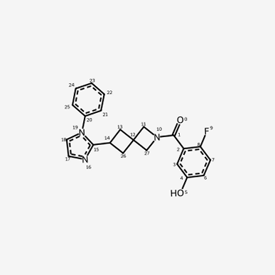 O=C(c1cc(O)ccc1F)N1CC2(CC(c3nccn3-c3ccccc3)C2)C1